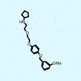 COc1cccc(COc2ccc(OCCOCCNC3CCCC3)cc2)c1